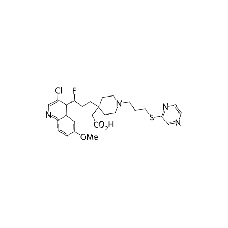 COc1ccc2ncc(Cl)c([C@@H](F)CCC3(CC(=O)O)CCN(CCCSc4cnccn4)CC3)c2c1